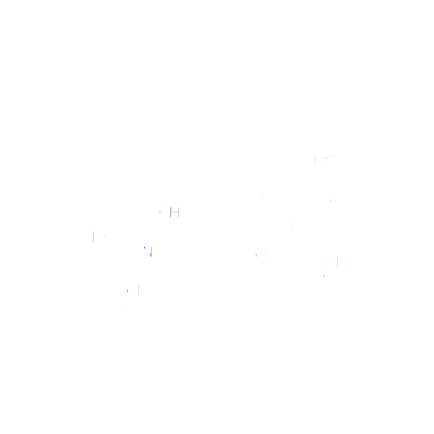 CCCOP(=O)(O)OCC[N+](C)(C)C